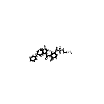 CCCS(=O)(=O)Nc1ccc(F)c(C(=O)c2c[nH]c3ncc(-c4cncnc4)cc23)c1F